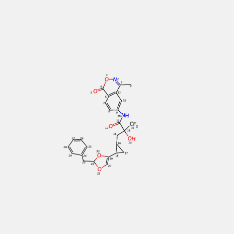 Cc1noc(=O)c2ccc(NC(=O)C(O)(CC3CC3C3=COC(Cc4ccccc4)O3)C(F)(F)F)cc12